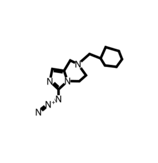 [N-]=[N+]=Nc1ncc2n1CCN(CC1CCCCC1)C2